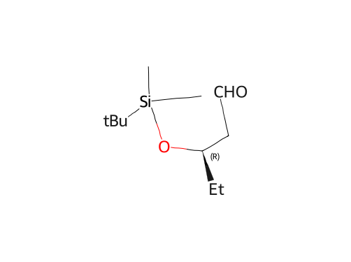 CC[C@H](CC=O)O[Si](C)(C)C(C)(C)C